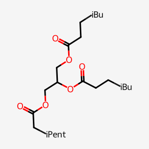 CCCC(C)CC(=O)OCC(COC(=O)CCC(C)CC)OC(=O)CCC(C)CC